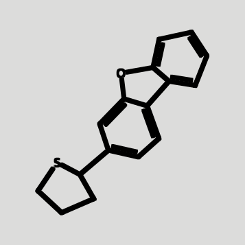 c1ccc2c(c1)oc1cc(C3CCCS3)ccc12